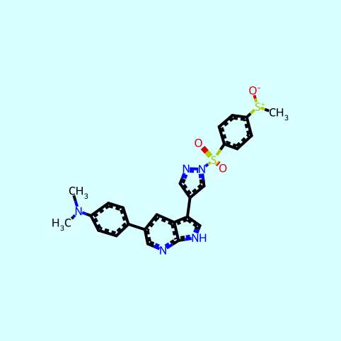 CN(C)c1ccc(-c2cnc3[nH]cc(-c4cnn(S(=O)(=O)c5ccc([S+](C)[O-])cc5)c4)c3c2)cc1